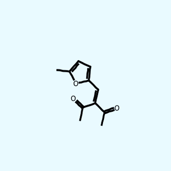 CC(=O)C(=Cc1ccc(C)o1)C(C)=O